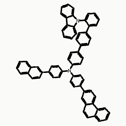 c1ccc(-n2c3ccccc3c3ccccc32)c(-c2ccc(-c3ccc(N(c4ccc(-c5ccc6ccccc6c5)cc4)c4ccc(-c5ccc6c(ccc7ccccc76)c5)cc4)cc3)cc2)c1